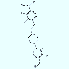 CCCC(O)c1ccc(OCC2CCC(c3ccc(OCC)c(F)c3F)CC2)c(F)c1F